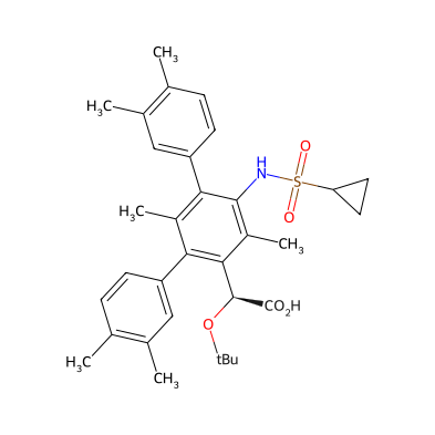 Cc1ccc(-c2c(C)c(-c3ccc(C)c(C)c3)c([C@H](OC(C)(C)C)C(=O)O)c(C)c2NS(=O)(=O)C2CC2)cc1C